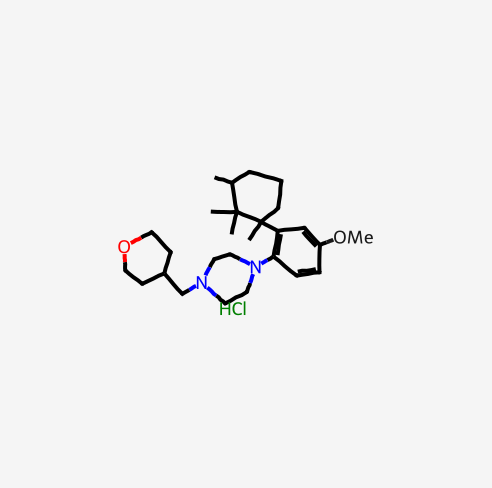 COc1ccc(N2CCN(CC3CCOCC3)CC2)c(C2(C)CCCC(C)C2(C)C)c1.Cl